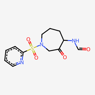 O=CNC1CCCN(S(=O)(=O)c2ccccn2)CC1=O